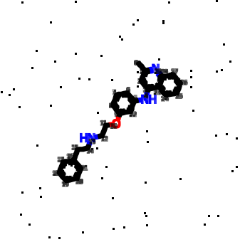 Cc1cc(Nc2cccc(OCCNCCc3ccccc3)c2)c2ccccc2n1